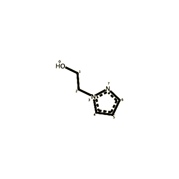 OCCn1c[c]cn1